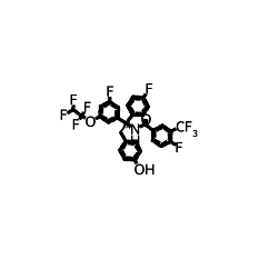 O=C(N[C@@](Cc1ccc(O)cc1)(c1ccc(F)cc1)c1cc(F)cc(OC(F)(F)C(F)F)c1)c1ccc(F)c(C(F)(F)F)c1